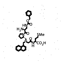 CSCC[C@H](NC(=O)CN(Cc1cccc2ccccc12)C[C@@H]1CCCN1C(=O)[C@@H](N)CNC(=O)OCc1ccccc1)C(=O)O